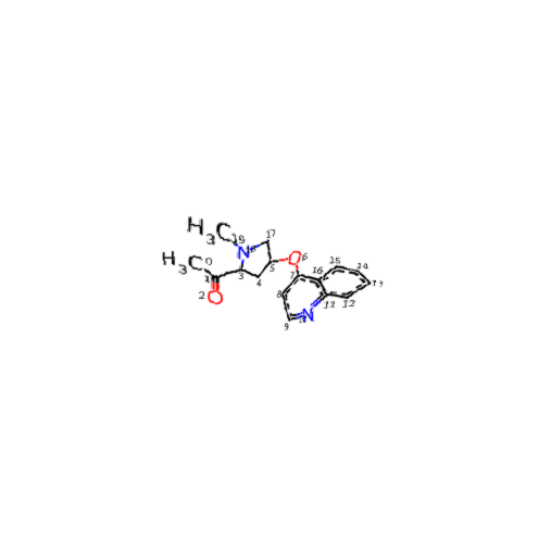 CC(=O)C1CC(Oc2ccnc3ccccc23)CN1C